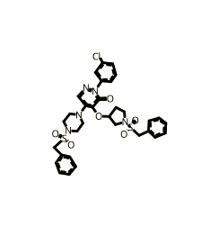 O=c1c(OC2CCN(S(=O)(=O)Cc3ccccc3)C2)c(N2CCN(S(=O)(=O)Cc3ccccc3)CC2)cnn1-c1cccc(Cl)c1